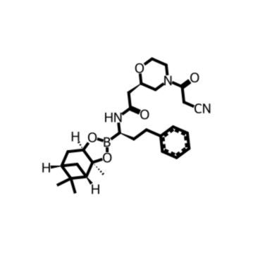 CC1(C)[C@@H]2C[C@H]3OB([C@H](CCc4ccccc4)NC(=O)C[C@@H]4CN(C(=O)CC#N)CCO4)O[C@@]3(C)[C@H]1C2